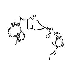 CCSc1nsc(NC(=O)N[C@H]2CC3C[C@H](N(C)c4ncnc5c4ccn5C)C[C@H]3C2)n1